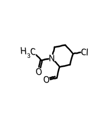 CC(=O)N1CCC(Cl)CC1C=O